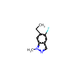 CCc1cc2c(cnn2C)cc1F